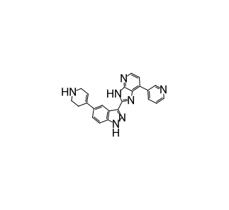 C1=C(c2ccc3[nH]nc(-c4nc5c(-c6cccnc6)ccnc5[nH]4)c3c2)CCNC1